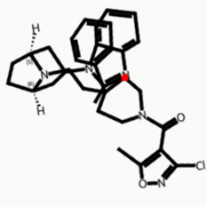 Cc1onc(Cl)c1C(=O)N1CCC(CCN2[C@@H]3CC[C@H]2CC(n2c(C)nc4ccccc42)C3)(c2ccccc2)CC1